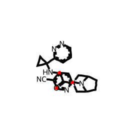 N#Cc1ccc(N2C3CCC2CN(C(=O)CNC2(c4cccnn4)CC2)C3)nc1